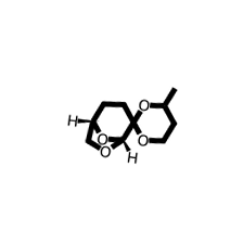 CC1CCOC2(CC[C@H]3CO[C@@H]2O3)O1